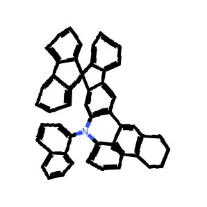 c1ccc(N(c2cc3c(cc2-c2ccc4c(c2)CCCC4)-c2ccccc2C32c3ccccc3-c3ccccc32)c2cccc3ccccc23)cc1